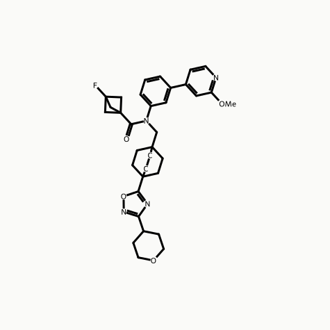 COc1cc(-c2cccc(N(CC34CCC(c5nc(C6CCOCC6)no5)(CC3)CC4)C(=O)C34CC(F)(C3)C4)c2)ccn1